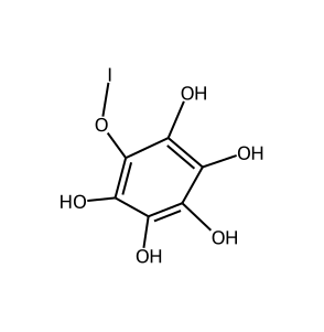 Oc1c(O)c(O)c(OI)c(O)c1O